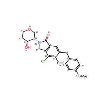 COc1ccc(Cc2cc3c(c(Cl)c2C)CN([C@H]2COCC[C@@H]2O)C3=O)cc1